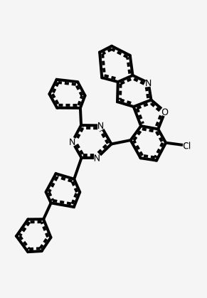 Clc1ccc(-c2nc(-c3ccccc3)nc(-c3ccc(-c4ccccc4)cc3)n2)c2c1oc1nc3ccccc3cc12